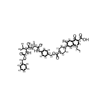 CCn1cc(C(=O)O)c(=O)c2cc(F)c(N3CCN(C(=O)OCc4ccc(NC(=O)[C@H](C)NC(=O)C(NC(=O)OCc5ccccc5)C(C)C)cc4)CC3)cc21